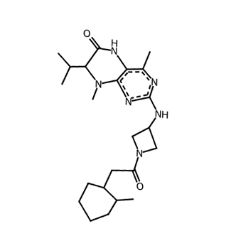 Cc1nc(NC2CN(C(=O)CC3CCCCC3C)C2)nc2c1NC(=O)C(C(C)C)N2C